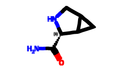 NC(=O)[C@@H]1NCC2CC21